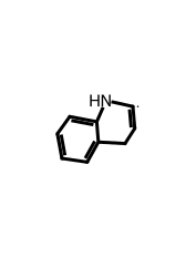 [C]1=CCc2ccccc2N1